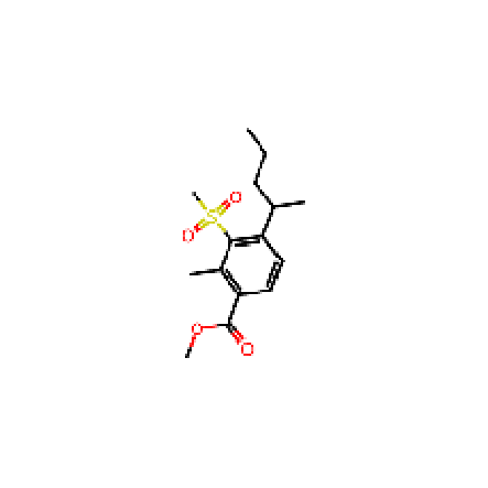 CCCC(C)c1ccc(C(=O)OC)c(C)c1S(C)(=O)=O